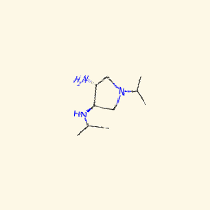 CC(C)N[C@@H]1CN(C(C)C)C[C@H]1N